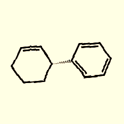 C1=C[C@H](c2ccccc2)CCC1